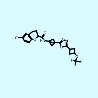 O=C(NC12CC(c3nnc(C4CC(OC(F)(F)F)C4)o3)(C1)C2)C1CCc2cc(Cl)ccc2O1